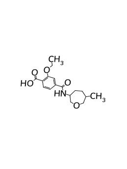 CCOc1cc(C(=O)NC2CCC(C)COC2)ccc1C(=O)O